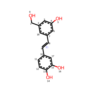 OCc1cc(O)cc(/C=C/c2ccc(O)c(O)c2)c1